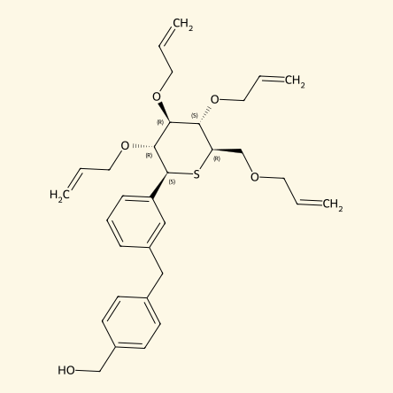 C=CCOC[C@H]1S[C@@H](c2cccc(Cc3ccc(CO)cc3)c2)[C@H](OCC=C)[C@@H](OCC=C)[C@@H]1OCC=C